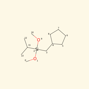 CO[Si](CC1CCCC1)(OC)C(C)C